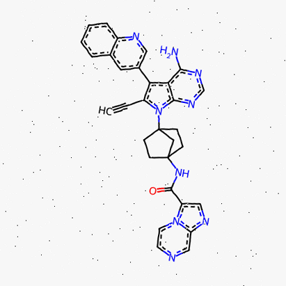 C#Cc1c(-c2cnc3ccccc3c2)c2c(N)ncnc2n1C12CCC(NC(=O)c3cnc4cnccn34)(CC1)C2